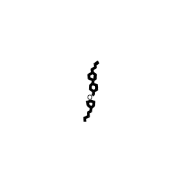 C=CCCC1C=CC(C2CCC(COC3CCC(CCCCC)CC3)CC2)CC1